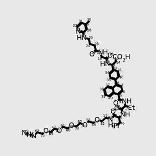 CCC(NC(=O)c1ccc(-c2ccc(C(CC(=O)O)NC(=O)CNC(=O)CCCNc3cc(C)ccn3)cc2)c2ccccc12)C(=O)NC(CC(C)C)C(=O)NCCOCCOCCOCCOCCOCCN=[N+]=[N-]